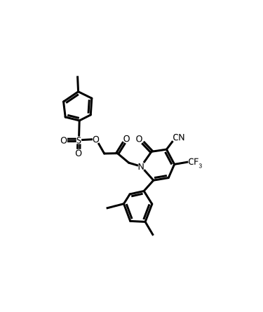 Cc1ccc(S(=O)(=O)OCC(=O)Cn2c(-c3cc(C)cc(C)c3)cc(C(F)(F)F)c(C#N)c2=O)cc1